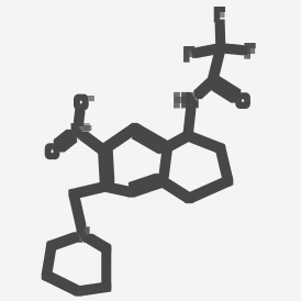 O=C(NC1CCCc2cc(CN3CCCCC3)c([N+](=O)[O-])cc21)C(F)(F)F